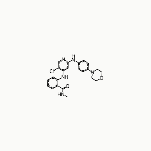 CNC(=O)c1ccccc1Nc1cc(Nc2ccc(N3CCOCC3)cc2)ncc1Cl